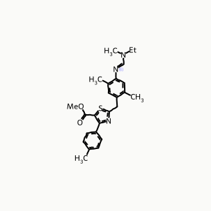 CCN(C)/C=N/c1cc(C)c(Cc2nc(-c3ccc(C)cc3)c(C(=O)OC)s2)cc1C